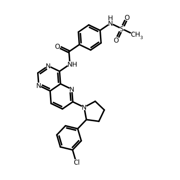 CS(=O)(=O)Nc1ccc(C(=O)Nc2ncnc3ccc(N4CCCC4c4cccc(Cl)c4)nc23)cc1